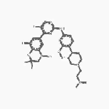 CC(C)Oc1nc(Nc2ncc(F)c(-c3cc(F)c4c(c3)N(C(C)C)CC(F)(F)O4)n2)ccc1C1CCN(CCN(C)C)CC1